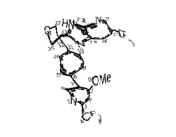 COc1cc(C(F)(F)F)ncc1-c1ccc(C2(c3nc4cc(C(F)(F)F)cnc4[nH]3)COC2)cc1